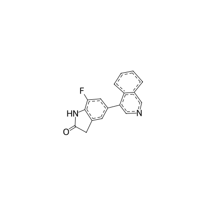 O=C1Cc2cc(-c3cncc4ccccc34)cc(F)c2N1